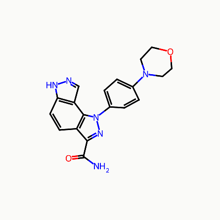 NC(=O)c1nn(-c2ccc(N3CCOCC3)cc2)c2c1ccc1[nH]ncc12